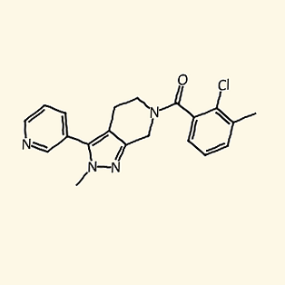 Cc1cccc(C(=O)N2CCc3c(nn(C)c3-c3cccnc3)C2)c1Cl